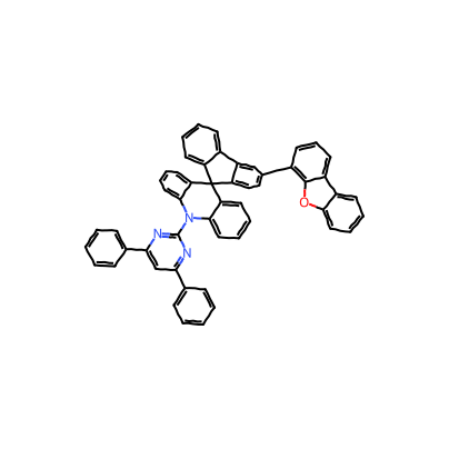 c1ccc(-c2cc(-c3ccccc3)nc(N3c4ccccc4C4(c5ccccc5-c5cc(-c6cccc7c6oc6ccccc67)ccc54)c4ccccc43)n2)cc1